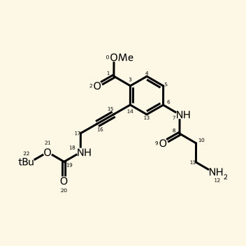 COC(=O)c1ccc(NC(=O)CCN)cc1C#CCNC(=O)OC(C)(C)C